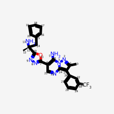 Cc1nn2c(N)c(-c3nnc([C@](C)(N)Cc4ccccc4)o3)cnc2c1-c1cccc(C(F)(F)F)c1